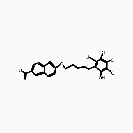 O=C(O)c1ccc2cc(OCCCCCc3c(O)c(O)c(Cl)c(Cl)c3Cl)ccc2c1